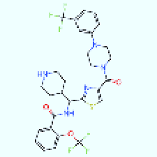 O=C(NC(c1nc(C(=O)N2CCN(c3cccc(C(F)(F)F)c3)CC2)cs1)C1CCNCC1)c1ccccc1OC(F)(F)F